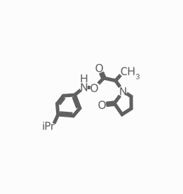 CC(C)c1ccc(NOC(=O)C(C)N2CCCC2=O)cc1